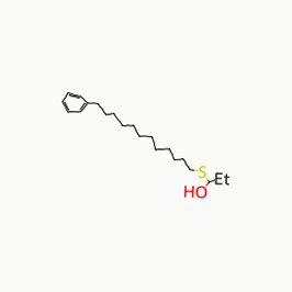 CCC(O)SCCCCCCCCCCCCc1ccccc1